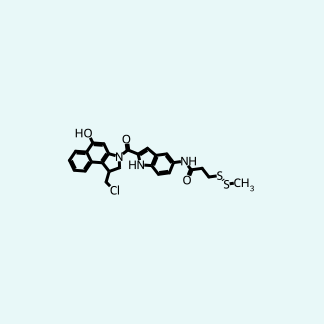 CSSCCC(=O)Nc1ccc2[nH]c(C(=O)N3CC(CCl)c4c3cc(O)c3ccccc43)cc2c1